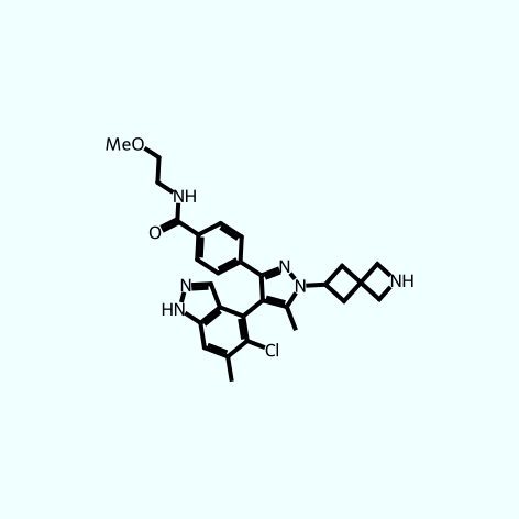 COCCNC(=O)c1ccc(-c2nn(C3CC4(CNC4)C3)c(C)c2-c2c(Cl)c(C)cc3[nH]ncc23)cc1